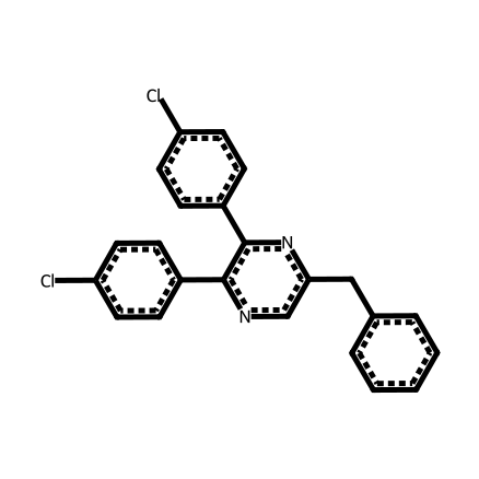 Clc1ccc(-c2ncc(Cc3ccccc3)nc2-c2ccc(Cl)cc2)cc1